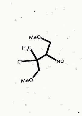 COCC(N=O)C(C)(Cl)COC